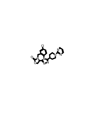 O=C1OCC2c3nnc(C4CCN(c5ncccn5)CC4)n3-c3ccc(Cl)cc3CN12